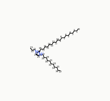 CCCCCCCCCCCCCCCCCCCc1n(CCC)cc[n+]1CCCCCCCCCCC